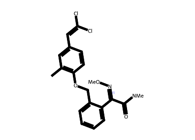 CNC(=O)/C(=N/OC)c1ccccc1COc1ccc(C=C(Cl)Cl)cc1C